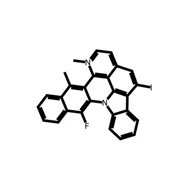 Cc1c2ccccc2c(F)c2c1c1c3c(cc[n+]1C)cc(I)c1c4ccccc4n2c13